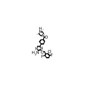 C[C@@H]1CN(C(=O)c2ccc(-c3cnc(N)c(OCc4c(F)ccc(F)c4Cl)n3)cc2)C[C@H](C)N1